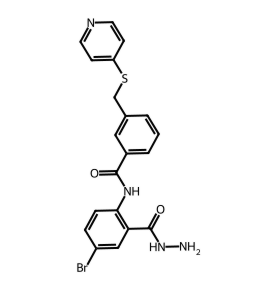 NNC(=O)c1cc(Br)ccc1NC(=O)c1cccc(CSc2ccncc2)c1